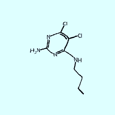 CCCCNc1nc(N)nc(Cl)c1Cl